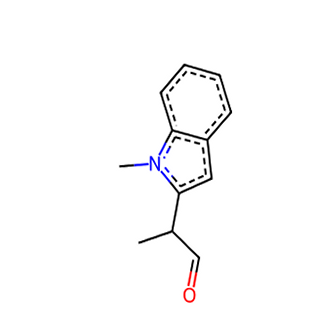 CC(C=O)c1cc2ccccc2n1C